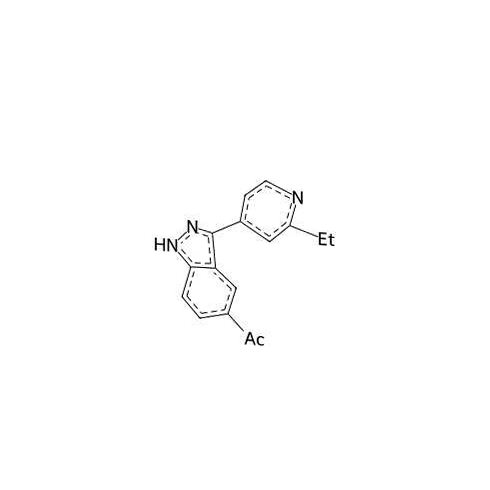 CCc1cc(-c2n[nH]c3ccc(C(C)=O)cc23)ccn1